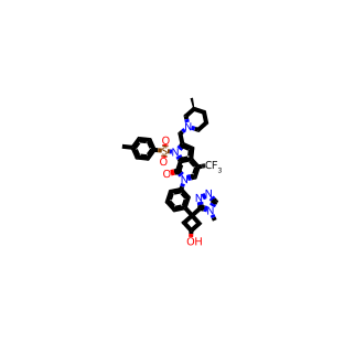 Cc1ccc(S(=O)(=O)n2c(CN3CCC[C@H](C)C3)cc3c(C(F)(F)F)cn(-c4cccc(C5(c6nncn6C)CC(O)C5)c4)c(=O)c32)cc1